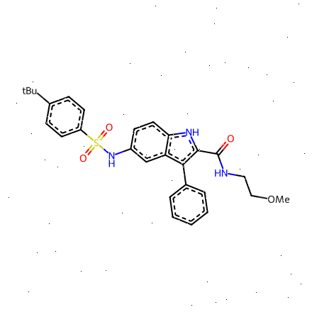 COCCNC(=O)c1[nH]c2ccc(NS(=O)(=O)c3ccc(C(C)(C)C)cc3)cc2c1-c1ccccc1